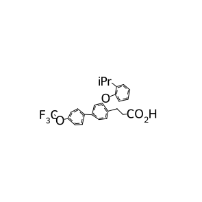 CC(C)c1ccccc1Oc1cc(-c2ccc(OC(F)(F)F)cc2)ccc1CCC(=O)O